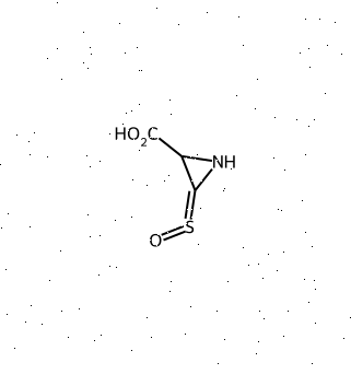 O=S=C1NC1C(=O)O